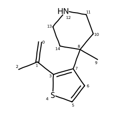 C=C(C)c1sccc1C1(C)CCNCC1